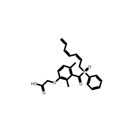 C=C/C=C\C=C/CP(=O)(C(=O)c1c(C)ccc(OCC(=O)O)c1C)c1ccccc1